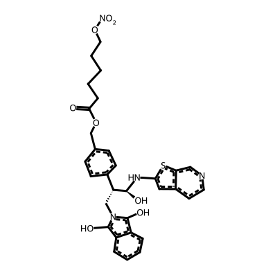 O=C(CCCCCO[N+](=O)[O-])OCc1ccc([C@@H](Cn2c(O)c3ccccc3c2O)[C@H](O)Nc2cc3ccncc3s2)cc1